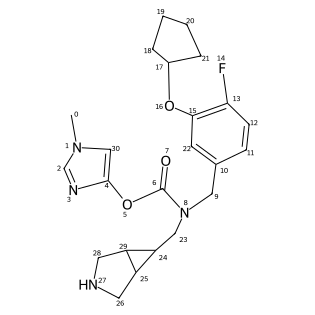 Cn1cnc(OC(=O)N(Cc2ccc(F)c(OC3CCCC3)c2)CC2C3CNCC32)c1